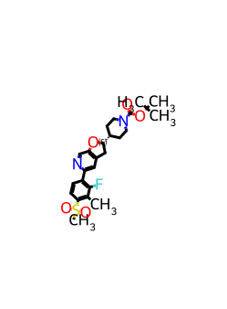 Cc1c(S(C)(=O)=O)ccc(-c2cc3c(cn2)O[C@H](C2CCN(C(=O)OC(C)(C)C)CC2)C3)c1F